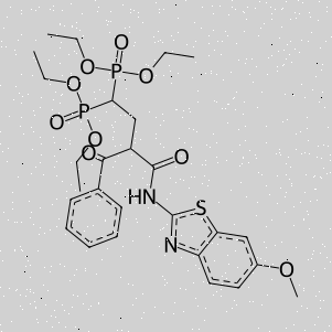 CCOP(=O)(OCC)C(CC(C(=O)Nc1nc2ccc(OC)cc2s1)C(=O)c1ccccc1)P(=O)(OCC)OCC